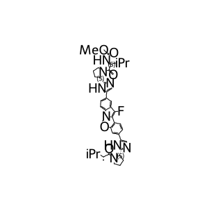 COC(=O)N[C@H](C(=O)N1CCC[C@H]1c1ncc(-c2ccc3c(c2)c(F)c2n3COc3cc(-c4cnc([C@@H]5CCCN5C(=O)[CH]C(C)C)[nH]4)ccc3-2)[nH]1)C(C)C